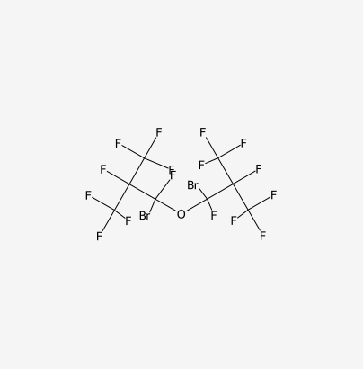 FC(F)(F)C(F)(C(F)(F)F)C(F)(Br)OC(F)(Br)C(F)(C(F)(F)F)C(F)(F)F